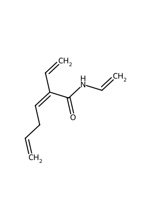 C=CCC=C(C=C)C(=O)NC=C